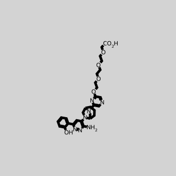 Nc1nnc(-c2ccccc2O)cc1N1CC2CCCC1CN2c1cncc(OCCOCCOCCOCC(=O)O)n1